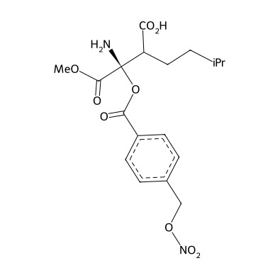 COC(=O)[C@@](N)(OC(=O)c1ccc(CO[N+](=O)[O-])cc1)C(CCC(C)C)C(=O)O